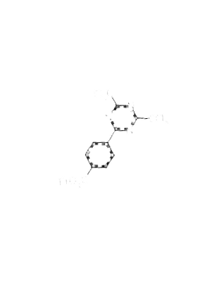 CCOC(=O)c1ccc(-c2nc(C(Cl)(Cl)Cl)nc(C(Cl)(Cl)Cl)n2)cc1